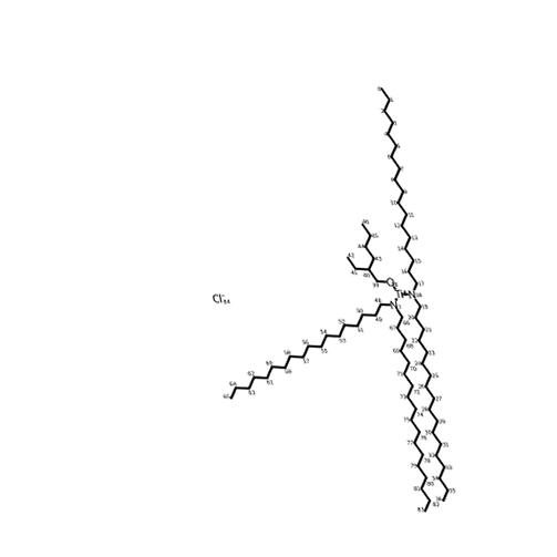 CCCCCCCCCCCCCCCCCC[N](CCCCCCCCCCCCCCCCCC)[Ti+]([O]CC(CC)CCCC)[N](CCCCCCCCCCCCCCCCCC)CCCCCCCCCCCCCCCCCC.[Cl-]